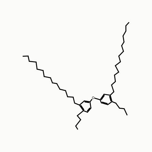 CCCCCCCCCCCCCCCc1cc(Oc2ccc(CCCC)c(CCCCCCCCCCCCCCC)c2)ccc1CCCC